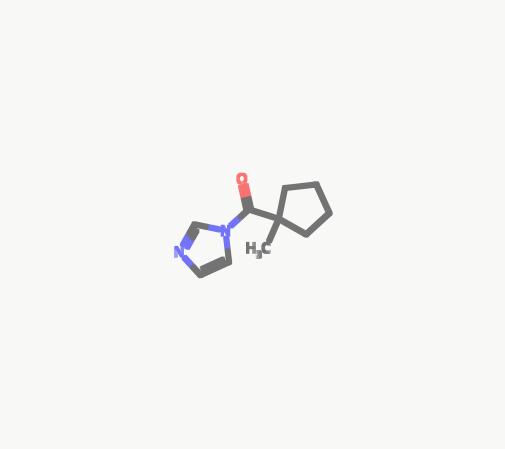 CC1(C(=O)n2ccnc2)CCCC1